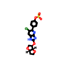 O=[SH](=O)Oc1ccc(-c2nc3nc(O[C@@H]4CO[C@@H]5CCO[C@@H]54)[nH]c3cc2Cl)cc1